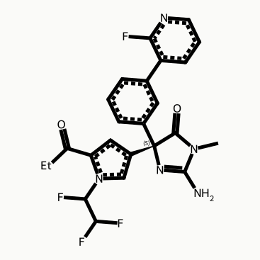 CCC(=O)c1cc([C@]2(c3cccc(-c4cccnc4F)c3)N=C(N)N(C)C2=O)cn1C(F)C(F)F